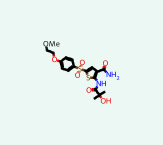 COCCOc1ccc(S(=O)(=O)c2cc(C(N)=O)c(NC(=O)C(C)(C)O)s2)cc1